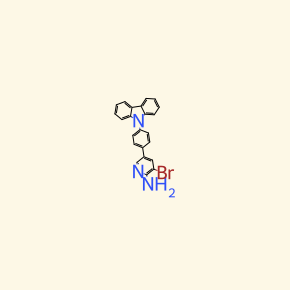 Nc1ncc(-c2ccc(-n3c4ccccc4c4ccccc43)cc2)cc1Br